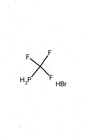 Br.FC(F)(F)P